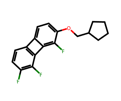 Fc1ccc2c(c1F)-c1c-2ccc(OCC2CCCC2)c1F